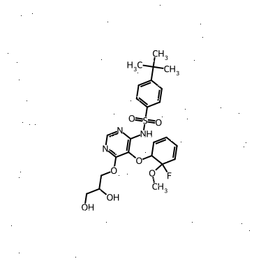 COC1(F)C=CC=CC1Oc1c(NS(=O)(=O)c2ccc(C(C)(C)C)cc2)ncnc1OCC(O)CO